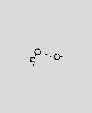 COc1ccc(CNC(=O)Nc2cccc(-c3nn(C)cc3Br)c2)cc1